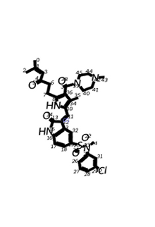 CC(C)=CC(=O)CCc1[nH]c(/C=C2\C(=O)Nc3ccc(S(=O)(=O)N(C)c4cccc(Cl)c4)cc32)c(C)c1C(=O)N1CCN(C)CC1